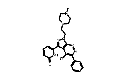 CN1CCN(CCn2nc(-c3cccc(=O)[nH]3)c3c(Cl)c(-c4ccccc4)nnc32)CC1